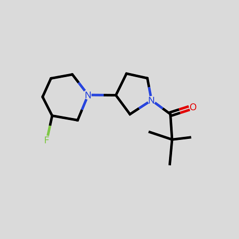 CC(C)(C)C(=O)N1CCC(N2CCCC(F)C2)C1